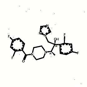 C[C@@H](N1CCN(C(=O)c2ccc(F)cc2F)CC1)[C@](O)(Cn1cncn1)c1ccc(F)cc1F